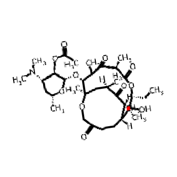 CC[C@H]1OC(=O)[C@H](C)C(=O)C(C)[C@@H](O[C@@H]2O[C@H](C)C[C@H](N(C)C)[C@H]2OC(C)=O)[C@@]2(C)C[C@@H](C)C(=O)[C@H](C)[C@@H](CCC(=O)CO2)[C@]1(C)O